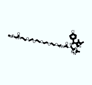 C=NOCC(=O)NCCOCCOCCOCCOCCOCCNC(=O)C[C@@H]1N=C(c2ccc(Cl)cc2)c2c(sc(C)c2C)-n2c(C)nnc21